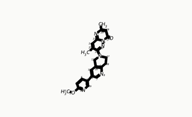 COc1ccc(-c2cnc3c(c2)CN(c2nn4c(=O)cc(C)nc4cc2C)CC3)cn1